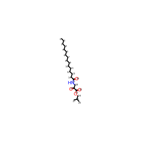 CCCCCCCCCCCCCCCC(=O)NCC(=O)C(=O)OCC(C)C